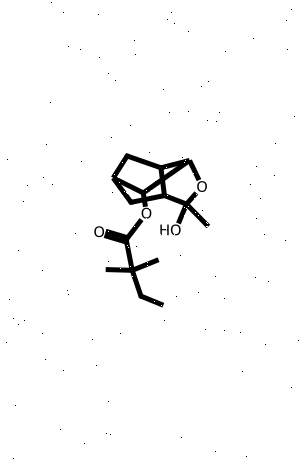 CCC(C)(C)C(=O)OC1C2CC3C1OC(C)(O)C3C2